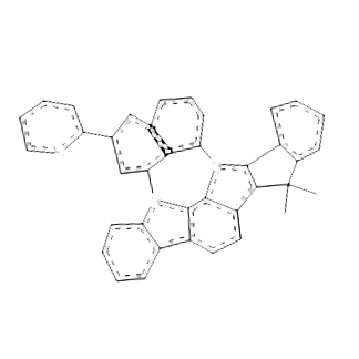 CC1(C)c2ccccc2-c2c1c1ccc3c4ccccc4n(-c4cccc(-c5ccccn5)c4)c3c1n2-c1ccccc1